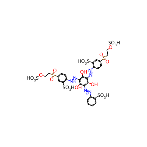 O=S(=O)(O)OCCS(=O)(=O)c1ccc(/N=N/c2c(O)c(/N=N/c3ccccc3S(=O)(=O)O)c(O)c(/N=N/c3ccc(S(=O)(=O)CCOS(=O)(=O)O)cc3S(=O)(=O)O)c2O)c(S(=O)(=O)O)c1